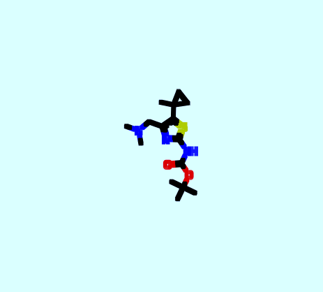 CN(C)Cc1nc(NC(=O)OC(C)(C)C)sc1C1(C)CC1